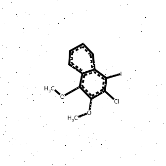 COc1c(Cl)c(I)c2ccccc2c1OC